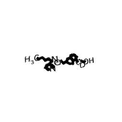 CCCCCC(=NOCC=C1CCc2c(cccc2OCC(=O)O)C1)c1cccnc1